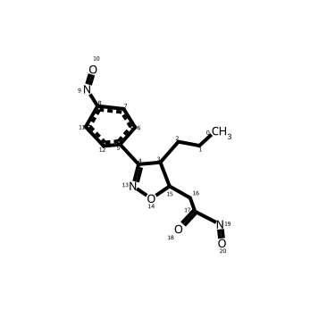 CCCC1C(c2ccc(N=O)cc2)=NOC1CC(=O)N=O